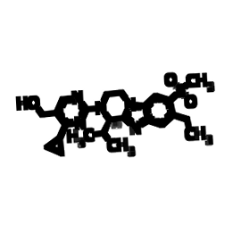 CCc1cc2nc3n(c2cc1S(C)(=O)=O)CCN(c1ncc(CO)c(C2CC2)n1)[C@@H]3C(C)C